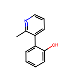 Cc1ncccc1-c1ccccc1O